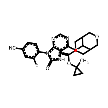 CC1(OC(=O)N2CC3COCC(C2)C3Oc2ncnc3c2[nH]c(=O)n3-c2ccc(C#N)cc2F)CC1